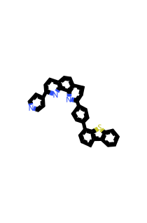 c1ccc2c(c1)sc1c(-c3ccc(-c4ccc5ccc6ccc(-c7ccncc7)nc6c5n4)cc3)cccc12